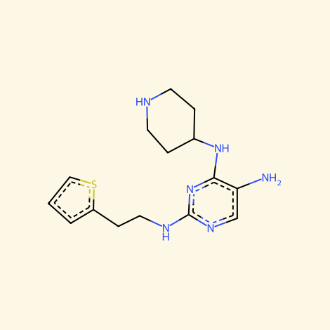 Nc1cnc(NCCc2cccs2)nc1NC1CCNCC1